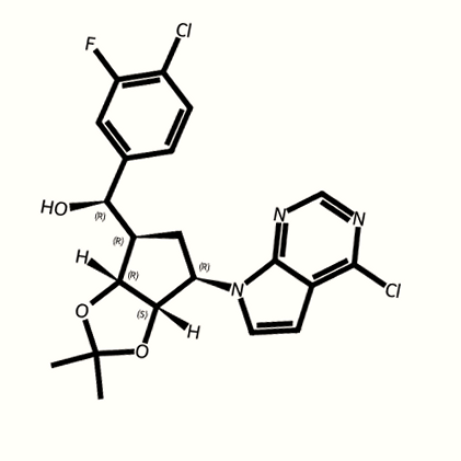 CC1(C)O[C@@H]2[C@@H]([C@@H](O)c3ccc(Cl)c(F)c3)C[C@@H](n3ccc4c(Cl)ncnc43)[C@@H]2O1